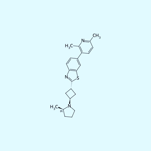 Cc1ccc(-c2ccc3nc([C@H]4C[C@H](N5CCC[C@H]5C)C4)sc3c2)c(C)n1